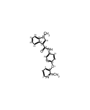 Cc1ncccc1Oc1ccc(NC(=O)c2cn(C)c3ccccc23)cn1